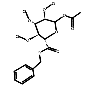 CC(=O)OC1O[C@H](C(=O)OCc2ccccc2)[C@@H](OCl)[C@H](OCl)[C@H]1OCl